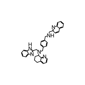 c1cnc2c(c1)CCCC2N(Cc1ccc(CNCc2ccc3ccccc3n2)cc1)Cc1nc2ccccc2[nH]1